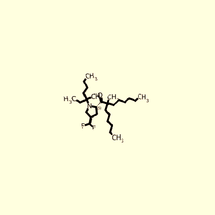 CCCCCCC(C)(CCCCCC)C(=O)[C@@H]1CC(=C(F)F)CN1C(C)(CC)CCCC